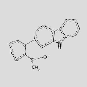 C[S+]([O-])c1ccccc1-c1ccc2c(c1)[nH]c1ccccc12